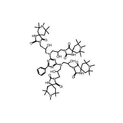 CN1C(C)(C)CC2(CC1(C)C)NC(=O)N(CC(O)CN(CC(O)CN1C(=O)NC3(CC(C)(C)N(C)C(C)(C)C3)C1=O)c1nc(-c3ccccc3)nc(N(CC(O)CN3C(=O)NC4(CC(C)(C)N(C)C(C)(C)C4)C3=O)CC(O)CN3C(=O)NC4(CC(C)(C)N(C)C(C)(C)C4)C3=O)n1)C2=O